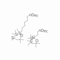 CCCCCCCCCCCCCCCC[Si]1(C)OC(C)(C)C[Si](C)(C)[Si]1(C)C.CCCCCCCCCCCC[Si]1(C)OC(C)(C)C[Si](C)(C)[Si]1(C)C